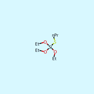 CCCS[Si](OCC)(OCC)OCC